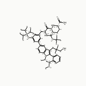 CCn1c(-c2cccnc2[C@H](C)OC)c(CC(C)(C)CO)c2cc(-c3cc(C[C@H](NC(=O)OC(C)(C)C)C(=O)N4CCC[C@@H](C(=O)O)N4)cc(O[Si](C(C)C)(C(C)C)C(C)C)c3)ccc21